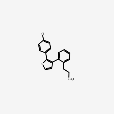 O=C(O)CCc1ccccc1-c1ccsc1-c1ccc(Cl)cc1